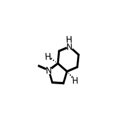 CN1CC[C@@H]2CCNC[C@@H]21